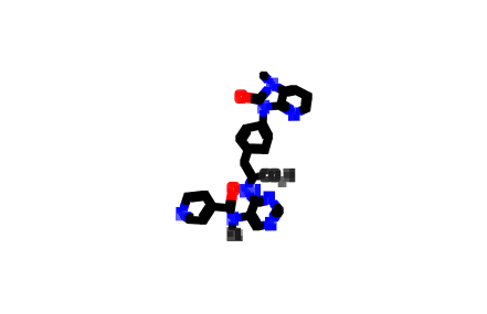 CCN(C(=O)c1ccncc1)c1cncnc1N[C@@H](Cc1ccc(-n2c(=O)n(C)c3cccnc32)cc1)C(=O)O